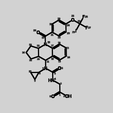 O=C(O)CNC(=O)N(C1CC1)C1c2ccccc2N(C(=O)c2ccc(OC(F)(F)I)cc2)C2CCCC21